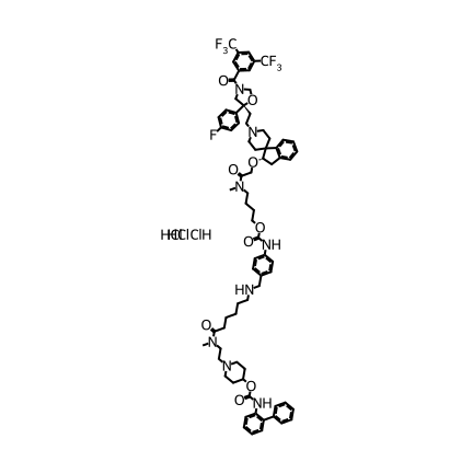 CN(CCN1CCC(OC(=O)Nc2ccccc2-c2ccccc2)CC1)C(=O)CCCCCNCc1ccc(NC(=O)OCCCCN(C)C(=O)CO[C@H]2Cc3ccccc3C23CCN(CC[C@@]2(c4ccc(F)cc4)CN(C(=O)c4cc(C(F)(F)F)cc(C(F)(F)F)c4)CO2)CC3)cc1.Cl.Cl.Cl